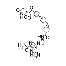 Cc1cc(Nc2nc(N3CCC[C@@H](NC(=O)C4CCN(CC5CCN(c6ccc7c(c6)C(=O)C([C@H]6CCC(=O)NC6=O)C7=O)CC5)CC4)C3)cnc2C(N)=O)sn1